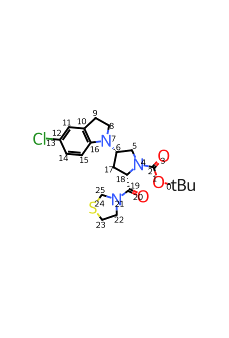 CC(C)(C)OC(=O)N1C[C@@H](N2CCc3cc(Cl)ccc32)C[C@H]1C(=O)N1CCSC1